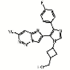 N#Cc1cc2nc(-c3c(-c4ccc(F)cc4)ncn3C3CC(CO)C3)cn2nn1